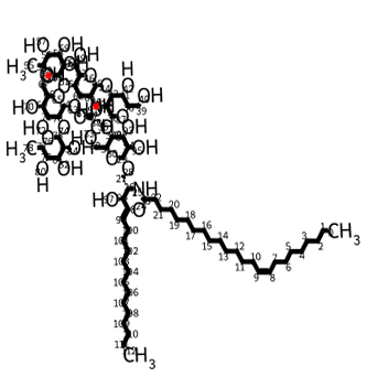 CCCCCCCC/C=C\CCCCCCCCCCCCCC(=O)N[C@@H](CO[C@@H]1OC(CO)[C@@H](O[C@@H]2OC(CO)[C@H](O)[C@H](O[C@@H]3OC(CO)[C@@H](O[C@H]4OC(C)[C@@H](O)C(O)[C@@H]4O)[C@H](O[C@@H]4OC(CO)[C@H](O)[C@H](O)C4O[C@H]4OC(C)[C@@H](O)C(O)[C@@H]4O)C3NC(C)=O)C2O)[C@H](O)C1O)[C@H](O)/C=C/CCCCCCCCCCCCC